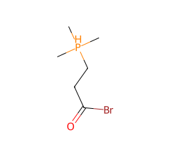 C[PH](C)(C)CCC(=O)Br